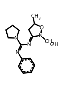 CC1CC(=NC(=Nc2ccccc2)N2CCCC2)N(C)O1.Cl